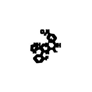 [CH2]C(Nc1ccc([N+](=O)[O-])cn1)c1ncc(-c2ncc[nH]2)c(-c2ccccc2F)n1